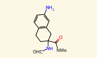 CNC(=O)C1(NC=O)CCc2ccc(N)cc2C1